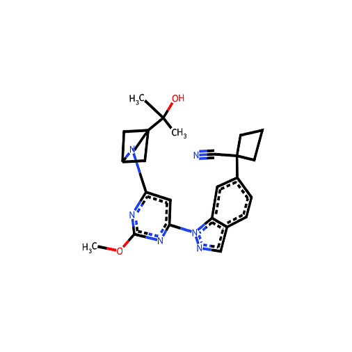 COc1nc(N2CC3(C(C)(C)O)CC2C3)cc(-n2ncc3ccc(C4(C#N)CCC4)cc32)n1